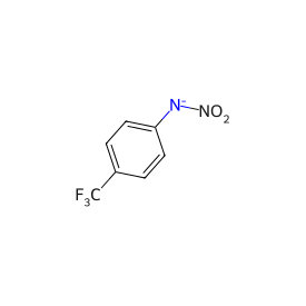 O=[N+]([O-])[N-]c1ccc(C(F)(F)F)cc1